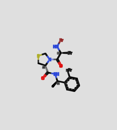 CCCc1ccccc1[C@@H](C)NC(=O)[C@@H]1CSCN1C(=O)[C@@H](NBr)C(C)C